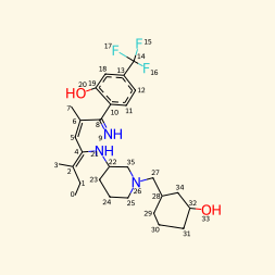 CC/C(C)=C(/C=C(/C)C(=N)c1ccc(C(F)(F)F)cc1O)NC1CCCN(CC2CCCC(O)C2)C1